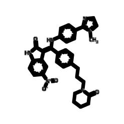 Cn1ccnc1-c1ccc(N/C(=C2\C(=O)Nc3ccc([N+](=O)[O-])cc32)c2ccc(CCCN3CCCCC3=O)cc2)cc1